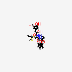 CC/C=C(\SC)SCC(NC(=O)C(O)Cc1ccc(O)c(O)c1)C(=O)N1CCCC1C(=O)OC1C[C@@H]2CCC1(C)C2(C)C